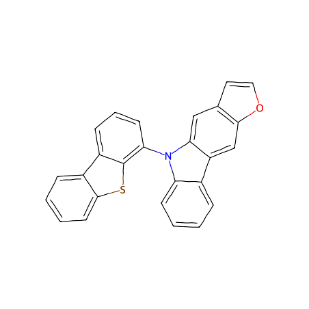 c1ccc2c(c1)sc1c(-n3c4ccccc4c4cc5occc5cc43)cccc12